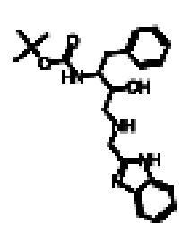 CC(C)(C)OC(=O)NC(Cc1ccccc1)C(O)CNCc1nc2ccccc2[nH]1